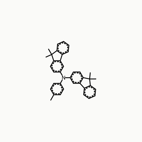 Cc1ccc(N(c2ccc3c(c2)-c2ccccc2C3(C)C)c2ccc3c(c2)-c2ccccc2C3(C)C)cc1